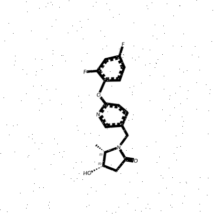 C[C@H]1[C@@H](O)CC(=O)N1Cc1ccc(Oc2ccc(F)cc2F)nc1